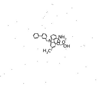 CCc1cc(OCC(=O)O)c2c3c(C(N)=O)cccc3n(Cc3cccc(-c4ccccc4)c3)c2c1